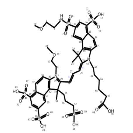 COCCNS(=O)(=O)c1cc(S(=O)(=O)O)c2ccc3c(c2c1)C(C)(C)/C(=C\C=C\C1=[N+](CCOC)c2ccc4c(S(=O)(=O)O)cc(S(=O)(=O)O)cc4c2C1(C)CCCS(=O)(=O)O)N3CCCCCC(=O)O